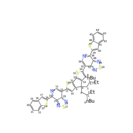 CCCCC(CC)CC1(CC(CC)CCCC)c2cc(-c3cnc(-c4cc5ccccc5s4)c4nsnc34)sc2-c2sc(-c3cnc(-c4cc5ccccc5s4)c4nsnc34)cc21